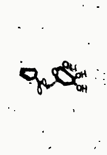 O=C(OC[C@H]1CC(O)C(O)[C@@H](O)O1)c1ccccc1